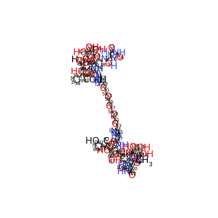 CC1O[C@@H](OC2C(NC(=O)c3cc(=O)[nH]c(=O)[nH]3)CCC[C@H]2O[C@@H]2OC(CO)[C@H](O)C(O[C@@H](CC3CCCCC3)C(=O)O)C2NC(=O)Cn2cc(COCCOCCOCCOCCOCc3cn(CC(=O)NC4C(O[C@@H](CC5CCCCC5)C(=O)O)[C@@H](O)C(CO)O[C@H]4O[C@@H]4CCCC(NC(=O)c5cc(=O)[nH]c(=O)[nH]5)C4O[C@@H]4OC(C)[C@@H](O)C(O)C4O)nn3)nn2)C(O)C(O)[C@@H]1O